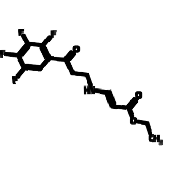 CCOC(=O)C=CNCCC(=O)c1cc(F)c(F)c(F)c1F